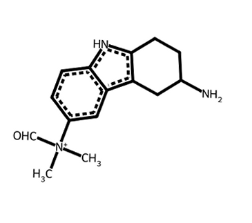 C[N+](C)(C=O)c1ccc2[nH]c3c(c2c1)CC(N)CC3